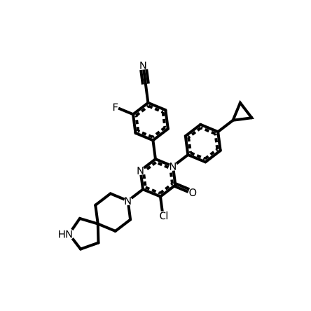 N#Cc1ccc(-c2nc(N3CCC4(CCNC4)CC3)c(Cl)c(=O)n2-c2ccc(C3CC3)cc2)cc1F